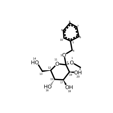 CO[C@@]1(OCc2ccccc2)O[C@H](CO)[C@@H](O)[C@H](O)[C@@H]1O